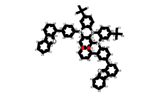 CC(C)(C)c1ccc2c(c1)N(c1ccc(-c3cccc4c3oc3ccccc34)cc1)c1cccc3c1B2c1ccc(C(C)(C)C)cc1N3c1ccc(-c2cccc3c2oc2ccccc23)cc1-c1ccccc1